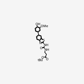 COc1cc(-c2ccc3nc(NC(=O)NCCC(=O)OC(C)(C)C)sc3c2)ccc1O